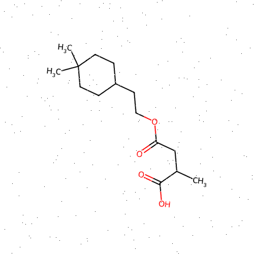 CC(CC(=O)OCCC1CCC(C)(C)CC1)C(=O)O